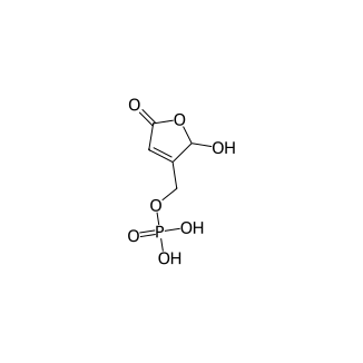 O=C1C=C(COP(=O)(O)O)C(O)O1